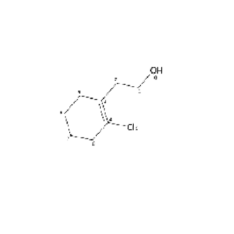 OCCC1=C(Cl)CCCC1